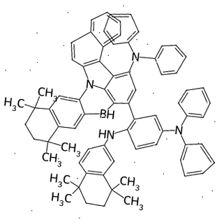 CC1(C)CCC(C)(C)c2cc(Nc3ccc(N(c4ccccc4)c4ccccc4)cc3-c3cc(N(c4ccccc4)c4ccccc4)c4c5c6ccccc6ccc5n5c4c3Bc3cc4c(cc3-5)C(C)(C)CCC4(C)C)ccc21